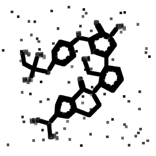 CN(C)c1ccc2c(c1)CCN(c1cccc(-c3cn(C)c(=O)c(Nc4ccc(OC(C)(C)CN)cc4)n3)c1CO)C2=O